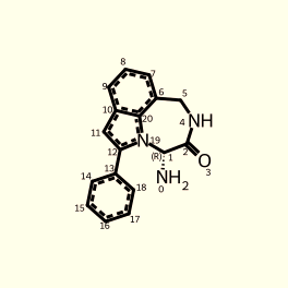 N[C@H]1C(=O)NCc2cccc3cc(-c4ccccc4)n1c23